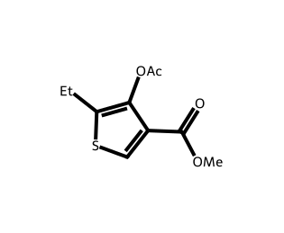 CCc1scc(C(=O)OC)c1OC(C)=O